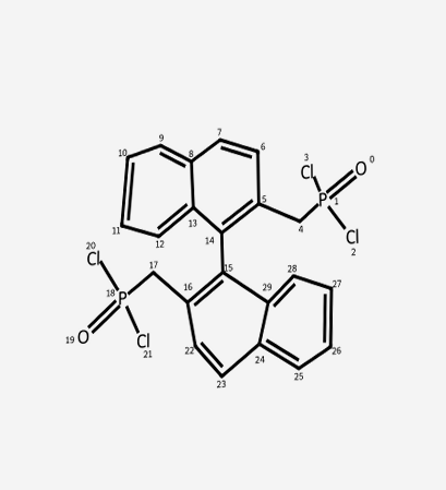 O=P(Cl)(Cl)Cc1ccc2ccccc2c1-c1c(CP(=O)(Cl)Cl)ccc2ccccc12